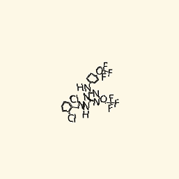 FC(F)(F)COc1nc(N/N=C/c2c(Cl)cccc2Cl)nc(Nc2ccc(OC(F)(F)F)cc2)n1